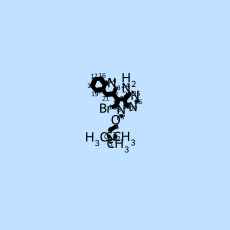 C[Si](C)(C)CCOCn1c(Br)c(-c2cnc3ccccc3c2)c2c(N)ncnc21